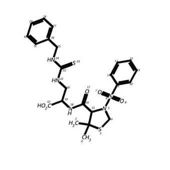 CC1(C)SCN(S(=O)(=O)c2ccccc2)C1C(=O)NC(CNC(=S)NCc1ccccc1)C(=O)O